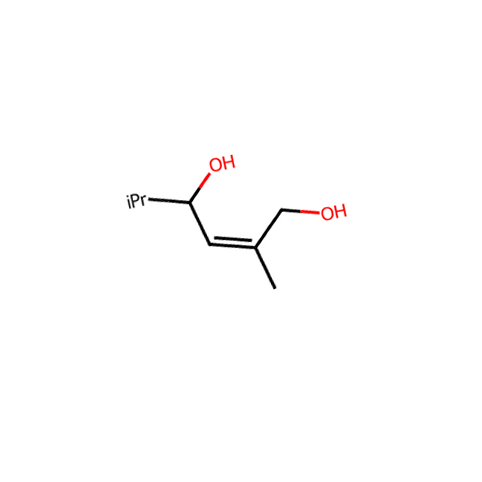 CC(=CC(O)C(C)C)CO